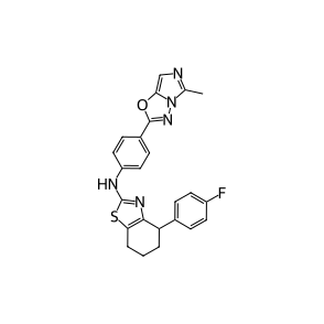 Cc1ncc2oc(-c3ccc(Nc4nc5c(s4)CCCC5c4ccc(F)cc4)cc3)nn12